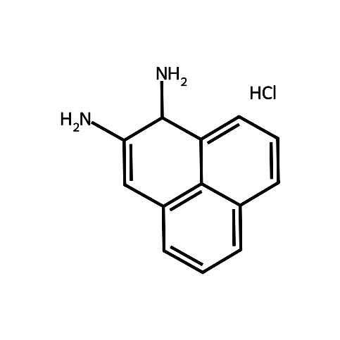 Cl.NC1=Cc2cccc3cccc(c23)C1N